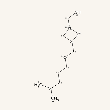 CC(C)CCCOCC1CN(CS)C1